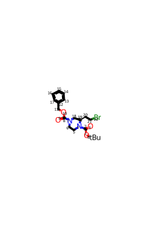 CC(C)(C)OC(=O)N1CCN(C(=O)OCc2ccccc2)C[C@H]1CCBr